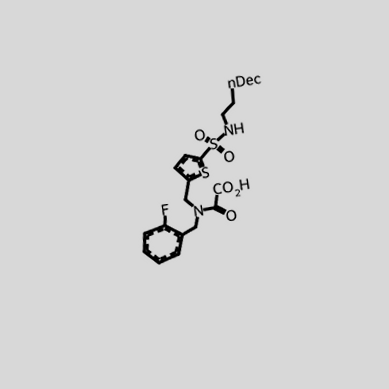 CCCCCCCCCCCCNS(=O)(=O)c1ccc(CN(Cc2ccccc2F)C(=O)C(=O)O)s1